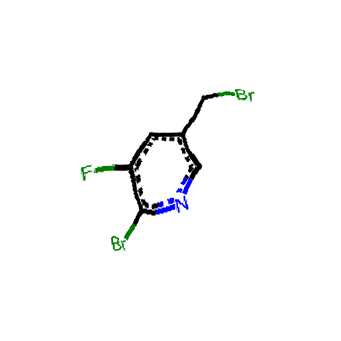 Fc1cc(CBr)cnc1Br